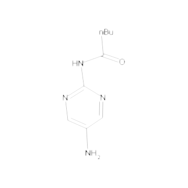 CCCCC(=O)Nc1ncc(N)cn1